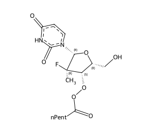 CCCCCC(=O)OO[C@H]1[C@@H](CO)O[C@@H](n2ccc(=O)[nH]c2=O)[C@]1(C)F